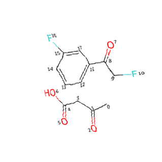 CC(=O)CC(=O)O.O=C(CF)c1cccc(F)c1